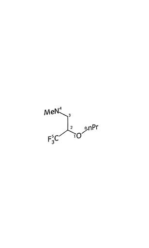 CCCOC(CNC)C(F)(F)F